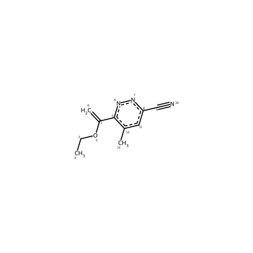 C=C(OCC)c1nnc(C#N)cc1C